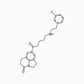 O=C(CCCCNCCc1cccc(F)c1)c1cc2c3c(c1)CCN3C(=O)CC2